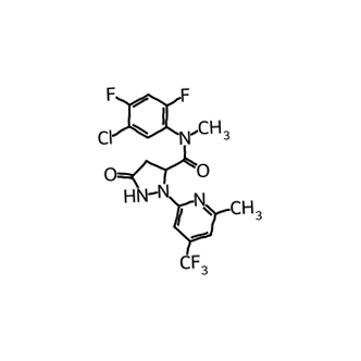 Cc1cc(C(F)(F)F)cc(N2NC(=O)CC2C(=O)N(C)c2cc(Cl)c(F)cc2F)n1